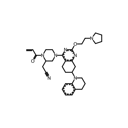 C=CC(=O)N1CCN(c2nc(OCCN3CCCC3)nc3c2CCC(N2CCCc4ccccc42)C3)CC1CC#N